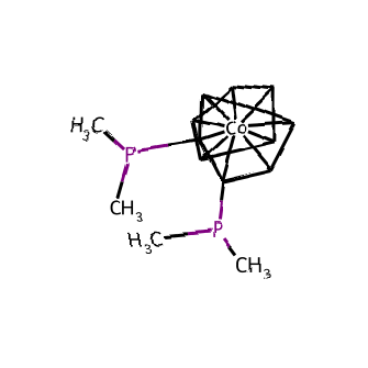 CP(C)[C]12[CH]3[CH]4[CH]5[C]1(P(C)C)[Co]43521678[CH]2[CH]1[CH]6[CH]7[CH]28